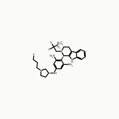 C[C@@H]1Cc2c([nH]c3ccccc23)[C@@H](c2c(P)cc(N[C@H]3CCN(CCCF)C3)cc2P)N1CC(F)(F)P